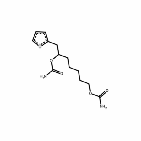 NC(=O)OCCCCCC(Cc1ccco1)OC(N)=O